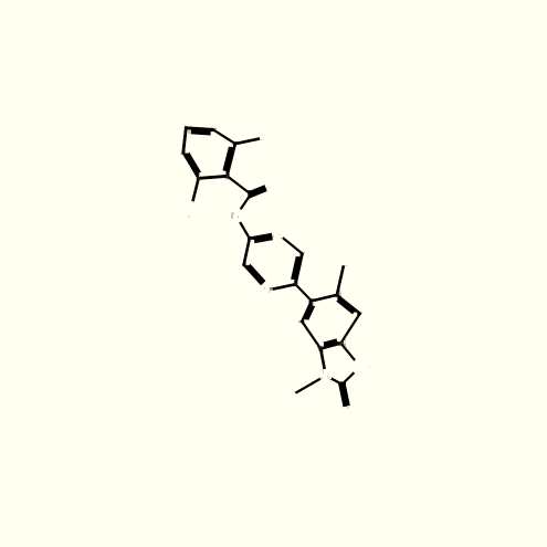 Cc1cc2oc(=O)n(C)c2cc1-c1cnc(NC(=O)c2c(F)cccc2F)cn1